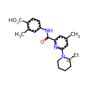 CC[C@H]1CCCCN1c1cc(C)cc(C(=O)Nc2ccc(C(=O)O)c(C)c2)n1